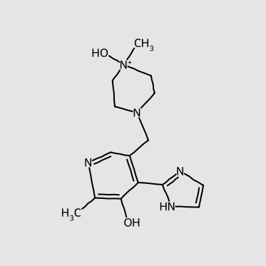 Cc1ncc(CN2CC[N+](C)(O)CC2)c(-c2ncc[nH]2)c1O